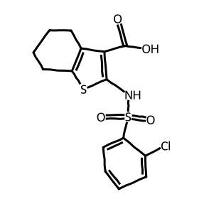 O=C(O)c1c(NS(=O)(=O)c2ccccc2Cl)sc2c1CCCC2